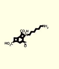 NCCCCCCN.O=Pc1cc2c(c3c1CC3C(=O)O)CC2C(=O)O